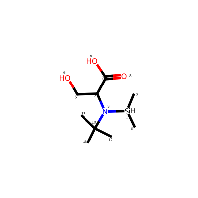 C[SiH](C)N(C(CO)C(=O)O)C(C)(C)C